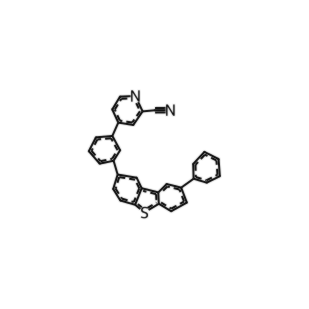 N#Cc1cc(-c2cccc(-c3ccc4sc5ccc(-c6ccccc6)cc5c4c3)c2)ccn1